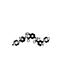 CN1CCN(c2ccc(NC(=O)c3cc(NC(=O)c4ccnc(N5CCOCC5)c4)ccc3Cl)cn2)CC1